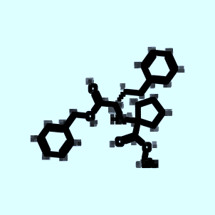 CC(C)(C)OC(=O)C1(N[C@@H](CCc2ccccc2)C(=O)OCc2ccccc2)CCCC1